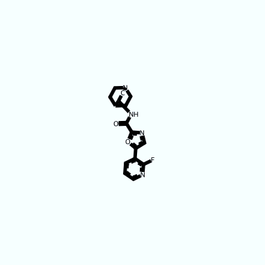 O=C(NC1CN2CCC1CC2)c1ncc(-c2cccnc2F)o1